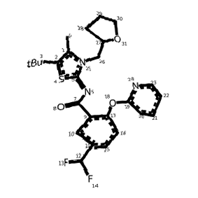 Cc1c(C(C)(C)C)s/c(=N\C(=O)c2cc(C(F)F)ccc2Oc2ccccn2)n1CC1CCCO1